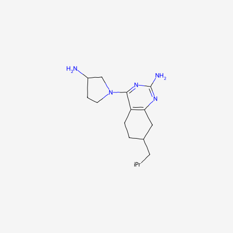 CC(C)CC1CCc2c(nc(N)nc2N2CCC(N)C2)C1